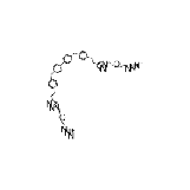 [N-]=[N+]=NCCOCCn1cc(CCc2ccc(Cc3ccc(-c4ccc(Cc5ccc(CCc6cn(CCOCCN=[N+]=[N-])nn6)cc5)cc4)cc3)cc2)nn1